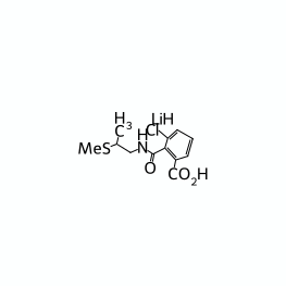 CSC(C)CNC(=O)c1c(Cl)cccc1C(=O)O.[LiH]